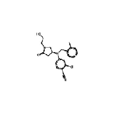 Cc1ccccc1CN(c1ccc(C#N)c(Cl)c1)[C@H]1CC(=O)N(CCO)C1